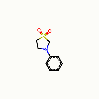 O=S1(=O)CCN(c2ccccc2)C1